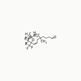 CC(C)(C/C=C\C(O[Si](C)(C)C)(C(F)(F)F)C(F)(F)F)CCCC=O